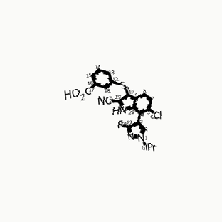 CC(C)n1cc(-c2c(Cl)ccc3c(Sc4cccc(C(=O)O)c4)c(C#N)[nH]c23)c(F)n1